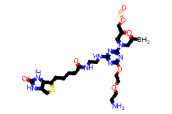 BC1CN(c2nc(NCCNC(=O)CCCCC3SCC4NC(=O)NC43)nc(OCCOCCN)n2)CC(COP=O)O1